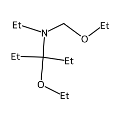 CCOCN(CC)C(CC)(CC)OCC